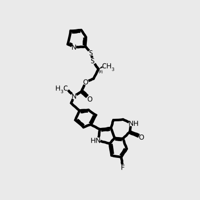 C[C@H](COC(=O)N(C)Cc1ccc(-c2[nH]c3cc(F)cc4c3c2CCNC4=O)cc1)SSc1ccccn1